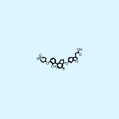 Cc1c(OC2CCS(=O)(=O)CC2)cccc1-c1ccc(F)c2c1CC[C@H]2Oc1ccc2c(c1)OCC2CC(=O)O